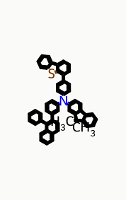 CC1(C)c2ccccc2-c2ccc(N(c3ccc(-c4cccc5c4sc4ccccc45)cc3)c3cccc(-c4ccc5ccccc5c4-c4ccccc4)c3)cc21